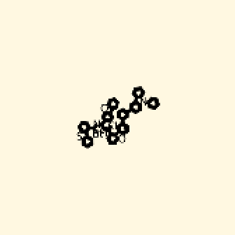 CCCC(/N=C(\C(CC)=C(/C)c1cccc2oc3ccc(-c4cccc(-c5ccc6c(c5)c5ccccc5n6-c5ccccc5)c4)cc3c12)c1ccc2c(c1)oc1ccccc12)c1cccc2sc3ccccc3c12